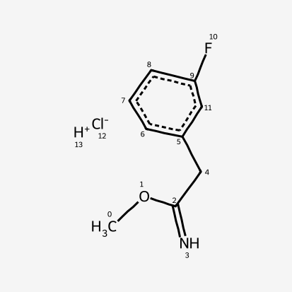 COC(=N)Cc1cccc(F)c1.[Cl-].[H+]